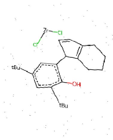 CC(C)(C)c1cc(C2C=CC3=C2CCCC3)c(O)c(C(C)(C)C)c1.[Cl][Zr][Cl]